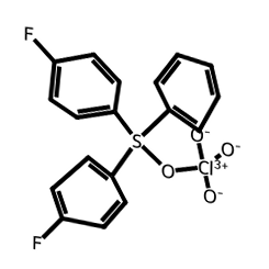 [O-][Cl+3]([O-])([O-])OS(c1ccccc1)(c1ccc(F)cc1)c1ccc(F)cc1